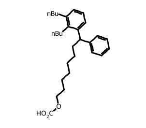 CCCCc1cccc(C(CCCCCCCOC(=O)O)c2ccccc2)c1CCCC